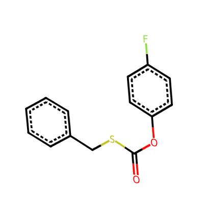 O=C(Oc1ccc(F)cc1)SCc1ccccc1